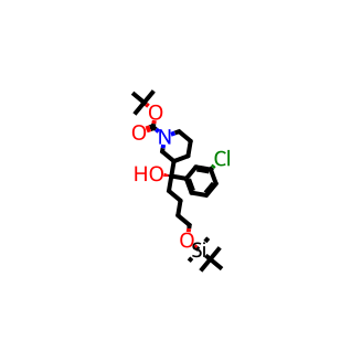 CC(C)(C)OC(=O)N1CCCC([C@@](O)(CCCCO[Si](C)(C)C(C)(C)C)c2cccc(Cl)c2)C1